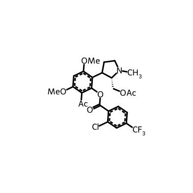 COc1cc(OC)c(C2CCN(C)[C@@H]2COC(C)=O)c(OC(=O)c2ccc(C(F)(F)F)cc2Cl)c1C(C)=O